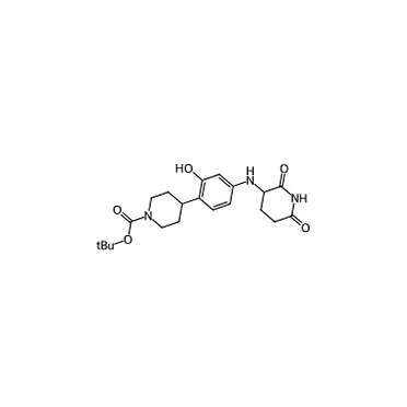 CC(C)(C)OC(=O)N1CCC(c2ccc(NC3CCC(=O)NC3=O)cc2O)CC1